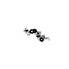 NC(=O)[C@@H]1CCCC[C@H]1Nc1nc(Nc2ccc3c(c2)CCC(NCC(F)(F)F)CC3)ncc1Cl